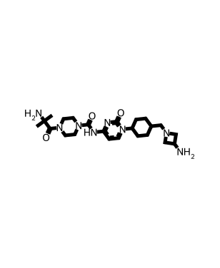 CC(C)(N)C(=O)N1CCN(C(=O)Nc2ccn(C3CCC(CN4CC(N)C4)CC3)c(=O)n2)CC1